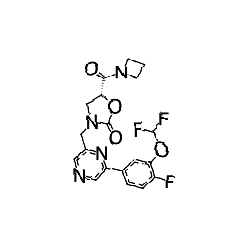 O=C1O[C@@H](C(=O)N2CCC2)CN1Cc1cncc(-c2ccc(F)c(OC(F)F)c2)n1